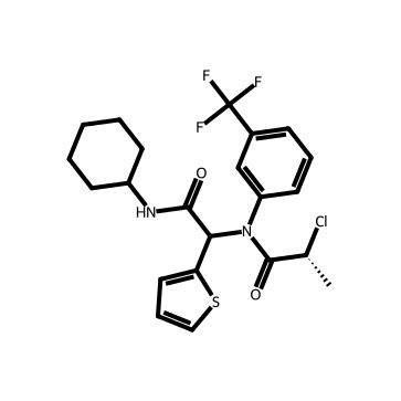 C[C@@H](Cl)C(=O)N(c1cccc(C(F)(F)F)c1)C(C(=O)NC1CCCCC1)c1cccs1